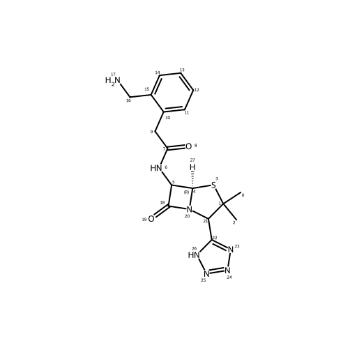 CC1(C)S[C@@H]2C(NC(=O)Cc3ccccc3CN)C(=O)N2C1c1nnn[nH]1